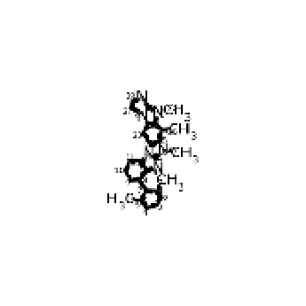 Cc1cccc(C)c1-c1cccc2c1nc1n(C)c3c(C)c4c(cc3n21)n1ccnc1n4C